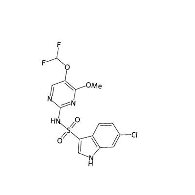 COc1nc(NS(=O)(=O)c2c[nH]c3cc(Cl)ccc23)ncc1OC(F)F